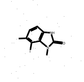 Cc1ccc2[nH]c(=O)n(C)c2c1I